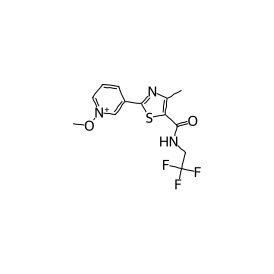 CO[n+]1cccc(-c2nc(C)c(C(=O)NCC(F)(F)F)s2)c1